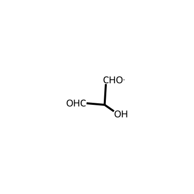 O=[C]C(O)C=O